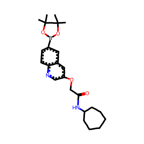 CC1(C)OB(c2ccc3ncc(OCC(=O)NC4CCCCCC4)cc3c2)OC1(C)C